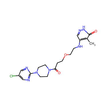 Cc1c(NCCOCCC(=O)N2CCN(c3ncc(Cl)cn3)CC2)cn[nH]c1=O